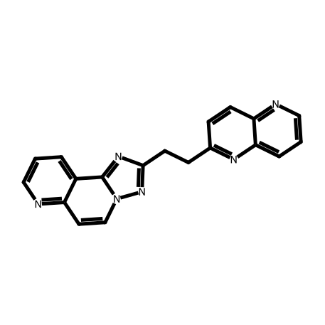 c1cnc2ccc(CCc3nc4c5cccnc5ccn4n3)nc2c1